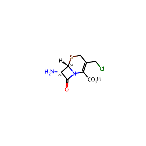 N[C@H]1C(=O)N2C(C(=O)O)=C(CCl)CS[C@@H]12